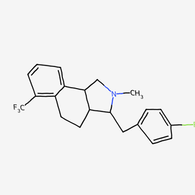 CN1CC2c3cccc(C(F)(F)F)c3CCC2C1Cc1ccc(F)cc1